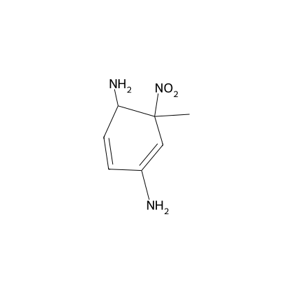 CC1([N+](=O)[O-])C=C(N)C=CC1N